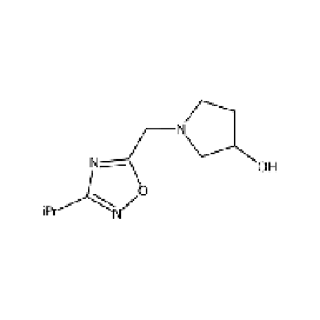 CC(C)c1noc(CN2CCC(O)C2)n1